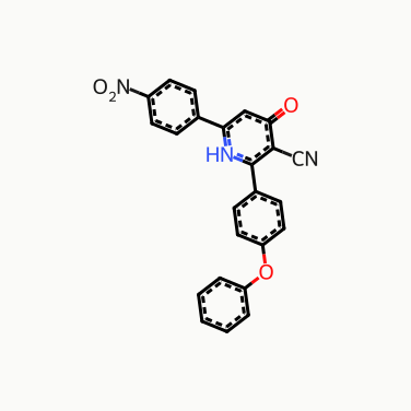 N#Cc1c(-c2ccc(Oc3ccccc3)cc2)[nH]c(-c2ccc([N+](=O)[O-])cc2)cc1=O